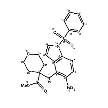 COC(=O)C1(Nc2c([N+](=O)[O-])cnc3c2ccn3S(=O)(=O)c2ccccc2)CCOCC1